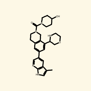 Cc1c[nH]c2ncc(-c3cc4c(c(C5COCCN5)c3)CN(C(=O)N3CCC(O)CC3)CC4)cc12